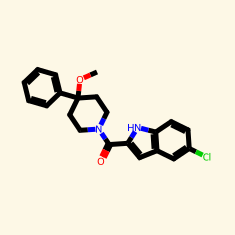 COC1(c2ccccc2)CCN(C(=O)c2cc3cc(Cl)ccc3[nH]2)CC1